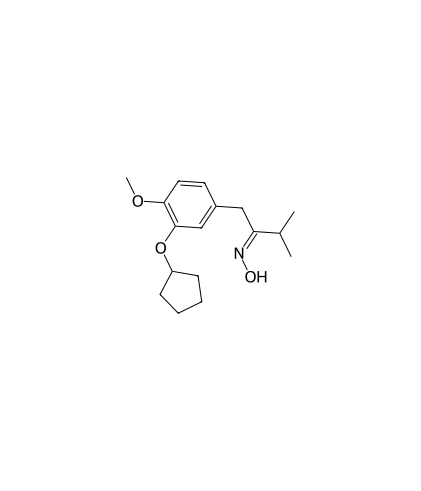 COc1ccc(CC(=NO)C(C)C)cc1OC1CCCC1